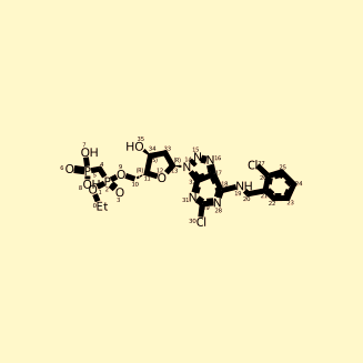 CCOP(=O)(CP(=O)(O)O)OC[C@H]1O[C@@H](n2nnc3c(NCc4ccccc4Cl)nc(Cl)nc32)C[C@@H]1O